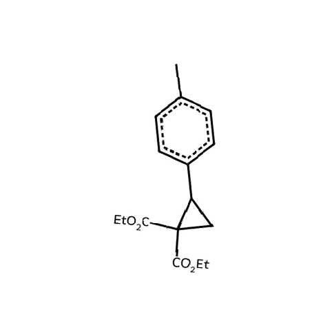 CCOC(=O)C1(C(=O)OCC)CC1c1ccc(C)cc1